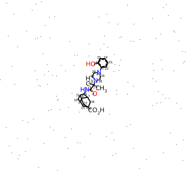 CC(C)(C(=O)NC1C2CC3CC1CC(C(=O)O)(C3)C2)N1CCN(c2ccccc2O)CC1